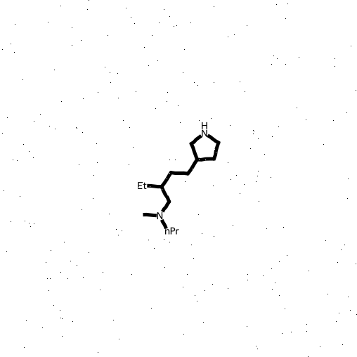 CCCN(C)CC(CC)CCC1CCNC1